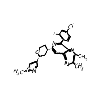 Cc1nc2cc([C@H]3CCO[C@@H](c4cnn(C)c4)C3)nc(-c3ccc(Cl)cc3F)c2nc1C